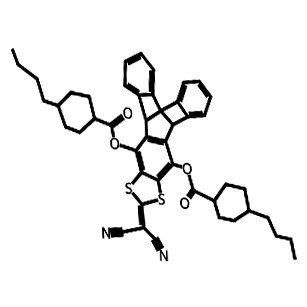 CCCCC1CCC(C(=O)Oc2c3c(c(OC(=O)C4CCC(CCCC)CC4)c4c2C2c5ccccc5C25c2ccccc2C45)SC(=C(C#N)C#N)S3)CC1